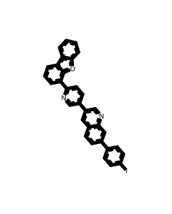 Ic1ccc(-c2ccc3cc(-c4ccc(-c5cccc6c5oc5ccccc56)nc4)cnc3c2)cc1